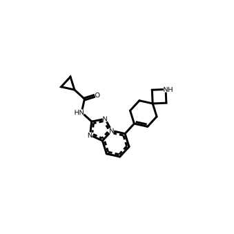 O=C(Nc1nc2cccc(C3=CCC4(CC3)CNC4)n2n1)C1CC1